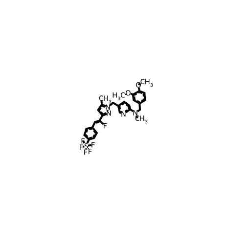 COc1ccc(CN(C)c2ccc(Cn3nc(C(F)=Cc4ccc(S(F)(F)(F)(F)F)cc4)cc3C)cn2)cc1OC